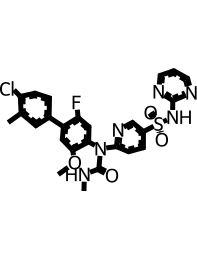 CNC(=O)N(c1ccc(S(=O)(=O)Nc2ncccn2)cn1)c1cc(F)c(-c2ccc(Cl)c(C)c2)cc1OC